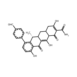 C[C@H]1c2c(-c3ccc(C=O)cc3)ccc(O)c2C(=O)C2=C(O)C3C(=O)C(C(N)=O)=C(O)CC3CC21